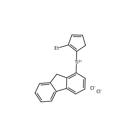 CCC1=[C]([Ti+2][c]2cccc3c2Cc2ccccc2-3)CC=C1.[Cl-].[Cl-]